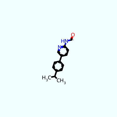 CC(C)c1ccc(-c2ccc(N[C]=O)nc2)cc1